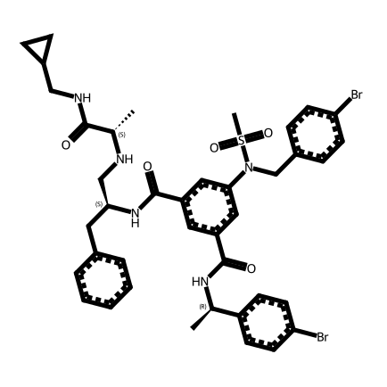 C[C@H](NC[C@H](Cc1ccccc1)NC(=O)c1cc(C(=O)N[C@H](C)c2ccc(Br)cc2)cc(N(Cc2ccc(Br)cc2)S(C)(=O)=O)c1)C(=O)NCC1CC1